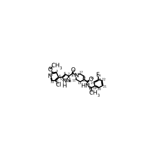 COc1cc(-c2cc(C(=O)N3CCC(C(=O)N[C@H](C)c4cccc(F)c4)CC3)n[nH]2)c(Cl)cn1